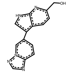 OCc1ccc2c(-c3ccc4ncnn4c3)c[nH]c2n1